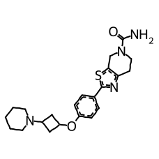 NC(=O)N1CCc2nc(-c3ccc(OC4CC(N5CCCCC5)C4)cc3)sc2C1